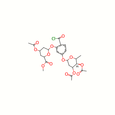 COC(=O)C1CC(OC(C)=O)CC(Oc2cc(OC3CC(OC(C)=O)[C@H](OC(C)=O)C(C)O3)ccc2C(=O)Cl)O1